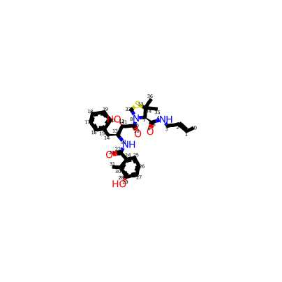 C/C=C/CNC(=O)[C@H]1N(C(=O)[C@@H](O)[C@H](Cc2ccccc2)NC(=O)c2cccc(O)c2C)CSC1(C)C